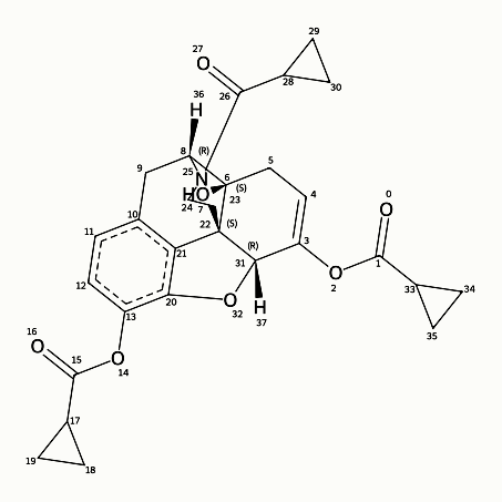 O=C(OC1=CC[C@@]2(O)[C@H]3Cc4ccc(OC(=O)C5CC5)c5c4[C@@]2(CCN3C(=O)C2CC2)[C@H]1O5)C1CC1